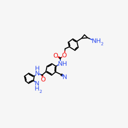 N#Cc1cc(C(=O)Nc2ccccc2N)ccc1NC(=O)OCc1ccc(C2CC2N)cc1